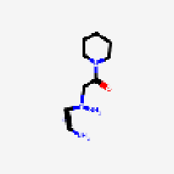 N/C=C\N(N)CC(=O)N1CCCCC1